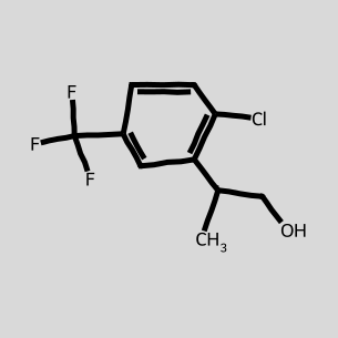 C[C](CO)c1cc(C(F)(F)F)ccc1Cl